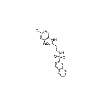 O=[N+]([O-])c1cc(Cl)ccc1NCCCNS(=O)(=O)c1ccc2ccccc2c1